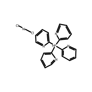 [Cl][Ni][Cl].c1ccc([PH](c2ccccn2)(c2ccccn2)c2ccccn2)nc1